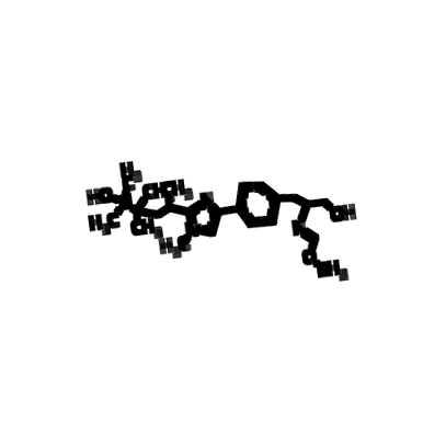 BOC=NC(CO)Cc1ccc(-c2cn(C)c(C(C)CC(C)(C)[Si](C)(C)O)n2)cc1